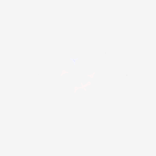 Cc1ccc2c(c1)c1c(OCc3ccc(C(C)(C)C)cc3)c(P3(=O)Oc4ccccc4-c4ccccc43)cc(OCc3ccc(C(C)(C)C)cc3)c1n2-c1ccccc1